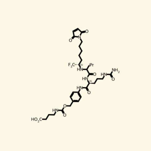 CC(C)C(N[C@@H](CCCCCN1C(=O)C=CC1=O)C(F)(F)F)C(=O)N[C@@H](CCCNC(N)=O)C(=O)Nc1ccc(COC(=O)NCCCC(=O)O)cc1